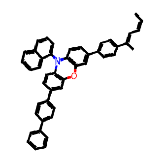 C/C=C\C=C(/C)c1ccc(-c2ccc3c(c2)Oc2cc(-c4ccc(-c5ccccc5)cc4)ccc2N3c2cccc3ccccc23)cc1